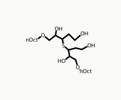 CCCCCCCCOCC(O)C(CCO)SC(CCO)C(O)COCCCCCCCC